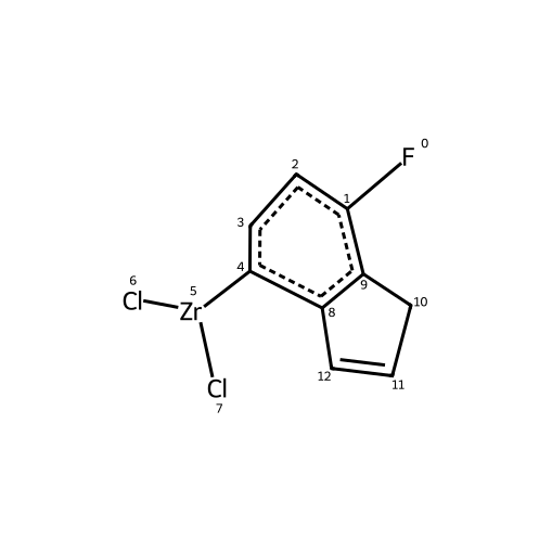 Fc1cc[c]([Zr]([Cl])[Cl])c2c1CC=C2